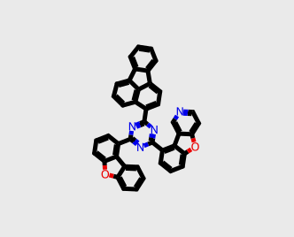 c1ccc2c(c1)-c1cccc3c(-c4nc(-c5cccc6oc7ccccc7c56)nc(-c5cccc6oc7ccncc7c56)n4)ccc-2c13